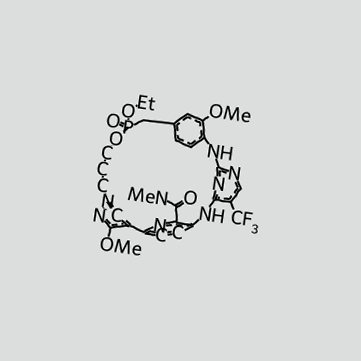 CCOP1(=O)Cc2ccc(c(OC)c2)Nc2ncc(C(F)(F)F)c(n2)Nc2ccc(nc2C(=O)NC)-c2cn(nc2OC)CCCO1